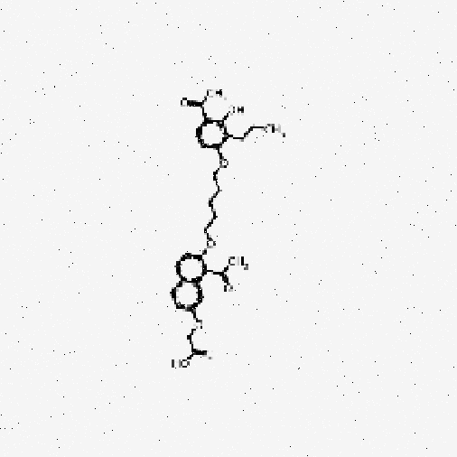 CCCc1c(OCCCCCOc2ccc3ccc(OCC(=O)O)cc3c2C(C)=O)ccc(C(C)=O)c1O